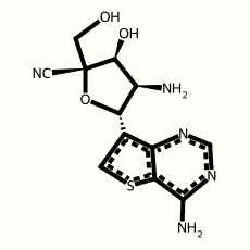 N#C[C@]1(CO)O[C@@H](c2csc3c(N)ncnc23)[C@H](N)[C@@H]1O